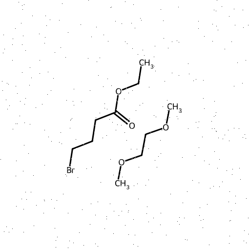 CCOC(=O)CCCBr.COCCOC